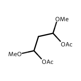 COC(CC(OC)OC(C)=O)OC(C)=O